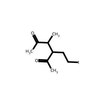 CC(=O)C(C)C(CCI)C(C)=O